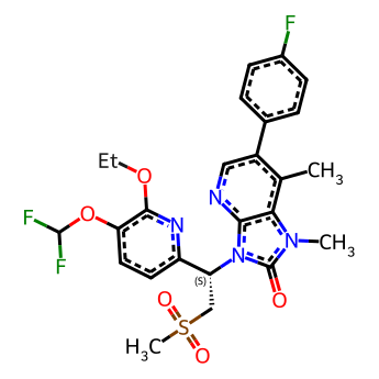 CCOc1nc([C@@H](CS(C)(=O)=O)n2c(=O)n(C)c3c(C)c(-c4ccc(F)cc4)cnc32)ccc1OC(F)F